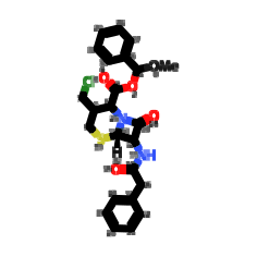 COC(OC(=O)C1C(CCl)CS[C@H]2C(NC(=O)Cc3ccccc3)C(=O)N12)c1ccccc1